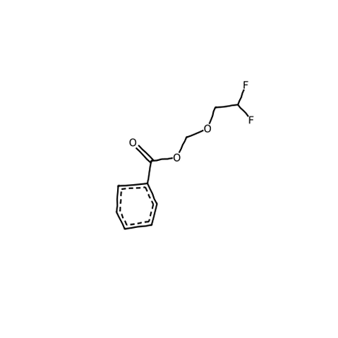 O=C(OCOCC(F)F)c1ccccc1